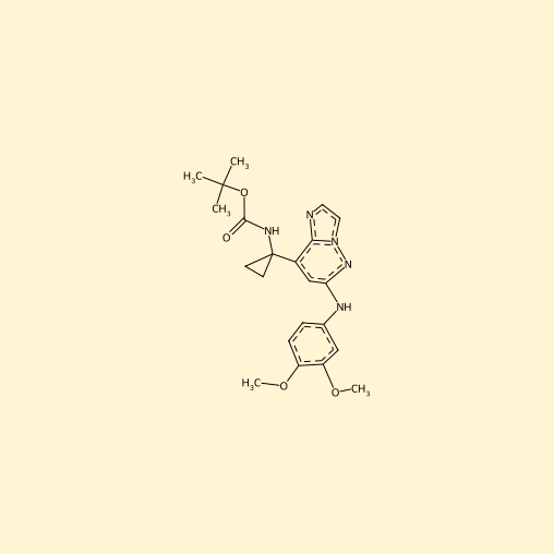 COc1ccc(Nc2cc(C3(NC(=O)OC(C)(C)C)CC3)c3nccn3n2)cc1OC